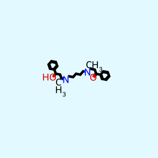 CC(CC(=O)c1ccccc1)=NCCCCCN=C(C)CC(O)c1ccccc1